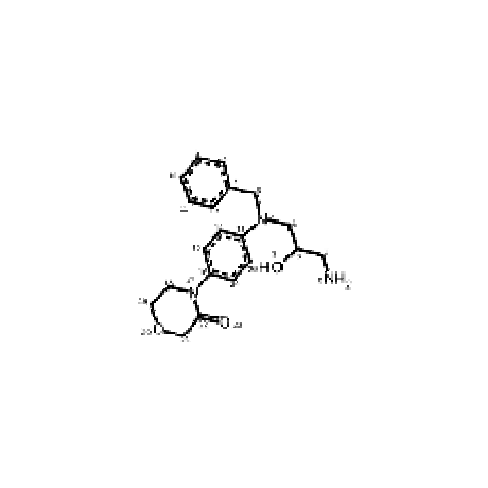 NCC(O)CN(Cc1ccccc1)c1ccc(N2CCOCC2=O)cc1